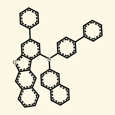 c1ccc(-c2ccc(N(c3ccc4ccccc4c3)c3cc(-c4ccccc4)cc4oc5cc6ccccc6cc5c34)cc2)cc1